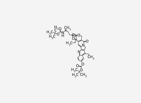 CCc1c2c(nc3ccc(OC(=O)OC(C)(C)C)cc13)-c1cc3c(c(=O)n1C2)COC(=O)[C@@]3(CC)OC(=O)CC[C@H](C)NC(=O)OC(C)(C)C